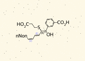 CCCCCCCCC/C=C\C=C\[C@@H](SCCC(=O)O)[C@@H](O)c1cccc(C(=O)O)c1